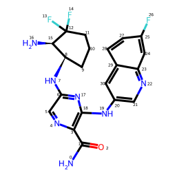 NC(=O)c1ncc(N[C@@H]2CCCC(F)(F)[C@@H]2N)nc1Nc1cnc2cc(F)ccc2c1